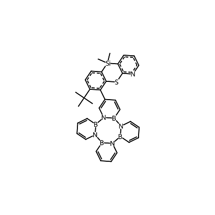 CC(C)(C)c1ccc2c(c1C1=CN3B4C=CC=CN4B4C=CC=CN4B4C=CC=CN4B3C=C1)Sc1ncccc1[Si]2(C)C